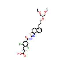 CCOCC(COCC)OCCCc1cccc2c1CCc1sc(NC(=O)c3cc(F)c(/C=C(\C)C(=O)O)c(F)c3)nc1-2